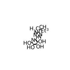 CCC(C)(C)c1nnc(-c2nc(O)c(O)c(O)c2O)nn1